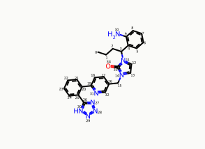 CCCC(c1ccccc1N)n1ccn(Cc2ccc(-c3ccccc3-c3nnn[nH]3)nc2)c1=O